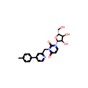 Cc1ccc(-c2ccnc(Cn3c(=O)ccn([C@@H]4O[C@H](CO)C(O)C4O)c3=O)c2)cc1